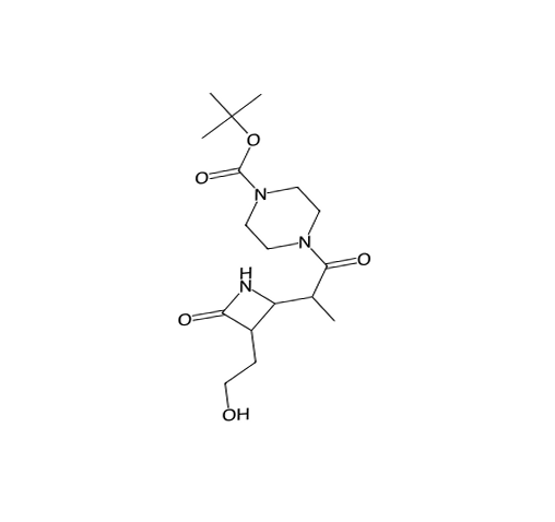 CC(C(=O)N1CCN(C(=O)OC(C)(C)C)CC1)C1NC(=O)C1CCO